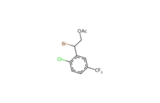 CC(=O)OCC(Br)c1cc(C(F)(F)F)ccc1Cl